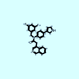 O=C(Cc1cncc2ccccc12)N(Cc1cc(F)cc(F)c1)c1ccc(C2=CCNC2)cc1